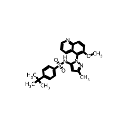 COc1ccc2ncccc2c1-n1nc(C)cc1NS(=O)(=O)c1ccc(C(C)(C)C)cc1